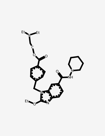 CCOc1nc2ccc(C(=O)NN3CCCCC3)cc2n1Cc1ccc(C(=O)OCCN(CC)CC)cc1